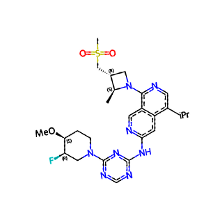 CO[C@H]1CCN(c2ncnc(Nc3cc4c(C(C)C)cnc(N5C[C@@H](CS(C)(=O)=O)[C@@H]5C)c4cn3)n2)C[C@H]1F